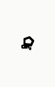 C1=CCCC1.[CaH2]